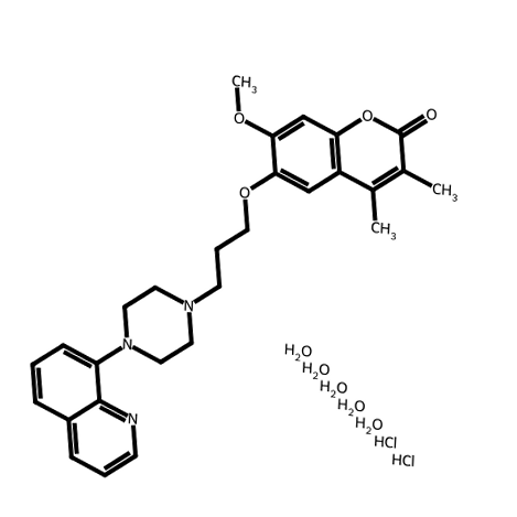 COc1cc2oc(=O)c(C)c(C)c2cc1OCCCN1CCN(c2cccc3cccnc23)CC1.Cl.Cl.O.O.O.O.O